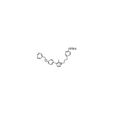 CCCCCCc1ccc(CCCn2ccc(-c3ccc(OCc4ccccc4)cc3)c2C)cc1